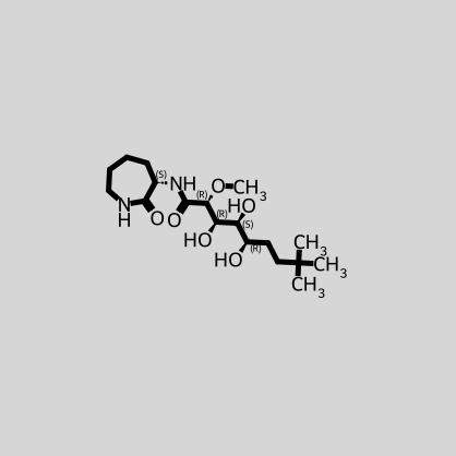 CO[C@@H](C(=O)N[C@H]1CCCCNC1=O)[C@H](O)[C@@H](O)[C@H](O)CCC(C)(C)C